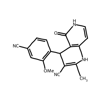 COc1cc(C#N)ccc1C1C(C#N)=C(C)Nc2cc[nH]c(=O)c21